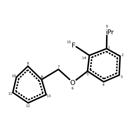 CC(C)c1cccc(OCc2ccccc2)c1F